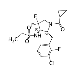 CCS(=O)(=O)N[C@@H]1[C@H](Cc2cccc(Cl)c2F)N(C(=O)C2CC2)CC1(F)F